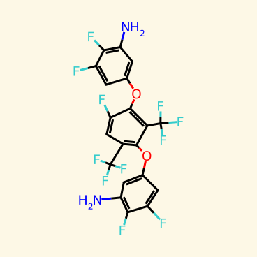 Nc1cc(Oc2c(F)cc(C(F)(F)F)c(Oc3cc(N)c(F)c(F)c3)c2C(F)(F)F)cc(F)c1F